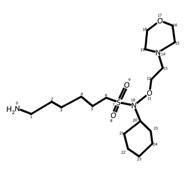 NCCCCCCS(=O)(=O)N(OCCN1CCOCC1)C1CCCCC1